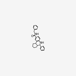 O=C(NCc1ccccc1)c1ccc2c(c1)C1CCCCC1C(c1ccccc1)N2